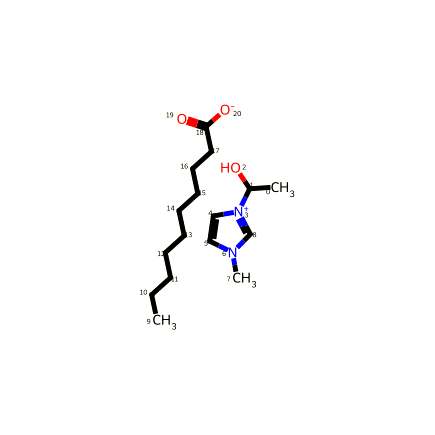 CC(O)[n+]1ccn(C)c1.CCCCCCCCCC(=O)[O-]